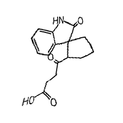 O=C(O)CCC(=O)C1CCCC12C(=O)Nc1ccccc12